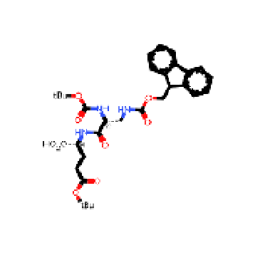 CC(C)(C)OC(=O)CC[C@@H](NC(=O)[C@@H](CNC(=O)OCC1c2ccccc2-c2ccccc21)NC(=O)OC(C)(C)C)C(=O)O